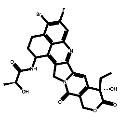 CC[C@@]1(O)C(=O)OCc2c1cc1n(c2=O)Cc2c-1nc1cc(F)c(Br)c3c1c2C(NC(=O)[C@H](C)O)CC3